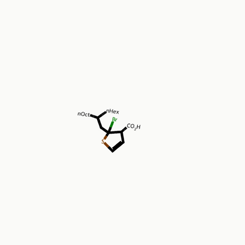 CCCCCCCCC(CCCCCC)CC1(Br)SC=CC1C(=O)O